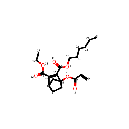 C=CC(=O)OC12CCC(C1)C(C(=O)OCC)=C2C(=O)OCCCCCC